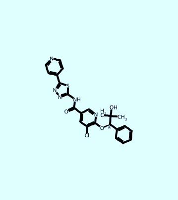 CC(C)(O)[C@H](Oc1ncc(C(=O)Nc2nnc(-c3ccncc3)s2)cc1Cl)c1ccccc1